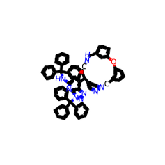 c1ccc(C(Nc2cc(C3CCNCc4cccc(c4)Oc4cccc(c4)Cn4cc3cn4)c3nnn(C(c4ccccc4)(c4ccccc4)c4ccccc4)c3n2)(c2ccccc2)c2ccccc2)cc1